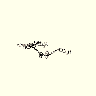 CCCCCC(OC(=O)CCC(N)C(=O)O)C(O)CCCCCCCCCCC(=O)OCCCCOC(=O)CCCCCCCCCCCCC(=O)O